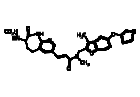 Cc1c(CN(C)C(=O)/C=C/c2cnc3c(c2)CCC(NC(=O)O)C(=O)N3)oc2ccc(Oc3cccnc3)cc12